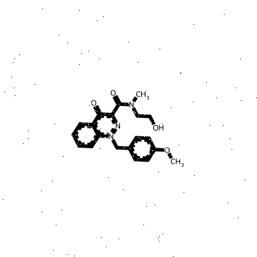 COc1ccc(Cn2nc(C(=O)N(C)CCO)c(=O)c3ccccc32)cc1